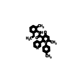 CCc1cccc(C)c1NC(=O)c1c(-c2cccnc2)n(-c2ccc(C)cc2)c(C)cc1=O